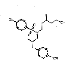 CC(CCO)CCN(CC(C)Cc1ccc(C(C)(C)C)cc1)S(=O)(=O)c1ccc(Cl)cc1